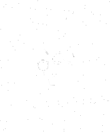 COC(=O)[C@@H](C)N1CCC(C#N)(c2ccc(OC)c(OC3CCCC3)c2)CC1